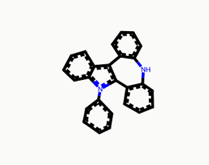 c1ccc(-n2c3c(c4ccccc42)-c2ccccc2Nc2ccccc2-3)cc1